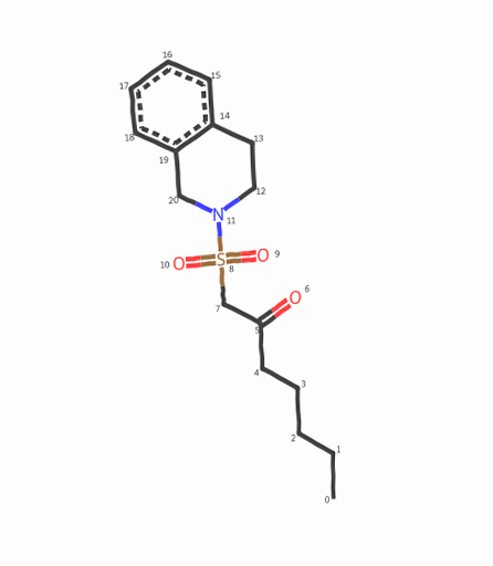 CCCCCC(=O)CS(=O)(=O)N1CCc2ccccc2C1